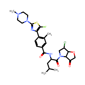 Cc1cc(C(=O)NC(CC(C)C)C(=O)N2CC(Cl)C3OCC(=O)C32)ccc1-c1nc(N2CCN(C)CC2)sc1F